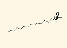 CCCCCCCCCCCCCCO[PH](C)=O